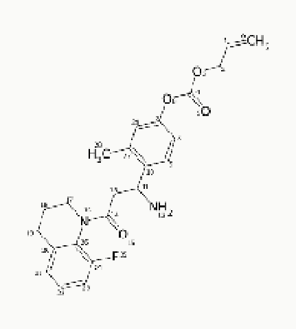 C=CCOC(=O)Oc1ccc(C(N)CC(=O)N2CCCc3cccc(F)c32)c(C)c1